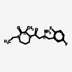 CCN1CCCN(C(=O)C[C@H](N)Cc2cc(F)ccc2F)[C@H](C)C1=O